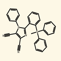 C[Si](c1ccccc1)(c1ccccc1)c1ccccc1-c1nc(C#N)c(C#N)n1-c1ccccc1